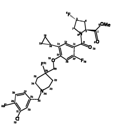 COC(=O)[C@@H]1C[C@@H](F)CN1C(=O)c1cc(C2CC2)c(OCC2(F)CCN(Cc3ccc(F)c(Cl)c3)CC2)cc1F